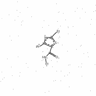 CCNC(=O)c1sc(CC)nc1C(C)C